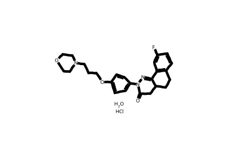 Cl.O.O=C1CC2CCc3ccc(F)cc3C2=NN1c1ccc(OCCCN2CCOCC2)cc1